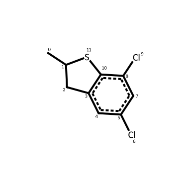 CC1Cc2cc(Cl)cc(Cl)c2S1